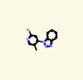 CCc1cc(-n2nnc3ccccc32)c(C)cn1